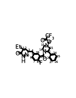 CCc1cc(Cc2ccc(F)c(C(=O)N3CCN(OC(=O)C(F)(F)F)CC3c3ccccc3)c2)n[nH]c1=O